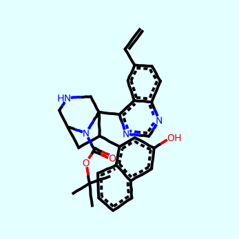 C=Cc1ccc2ncnc(C34CNCC(CC3c3cc(O)cc5ccccc35)N4C(=O)OC(C)(C)C)c2c1